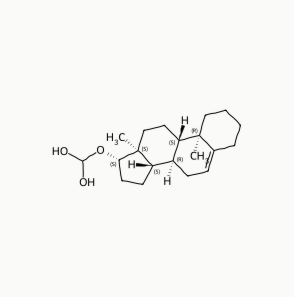 C[C@]12CC[C@H]3[C@@H](CC=C4CCCC[C@@]43C)[C@@H]1CC[C@@H]2OC(O)O